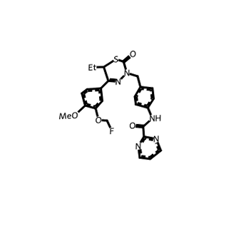 CCC1SC(=O)N(Cc2ccc(NC(=O)c3ncccn3)cc2)N=C1c1ccc(OC)c(OCF)c1